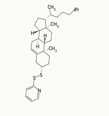 CC(C)CCCC(C)[C@H]1CC[C@H]2[C@@H]3CC=C4C[C@@H](SSc5ccccn5)CC[C@]4(C)[C@H]3CC[C@]12C